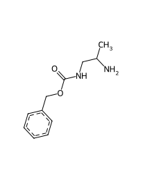 CC(N)CNC(=O)OCc1ccccc1